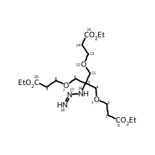 CCOC(=O)CCOCC(COCCC(=O)OCC)(COCCC(=O)OCC)NN=N